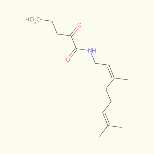 CC(C)=CCCC(C)=CCNC(=O)C(=O)CCC(=O)O